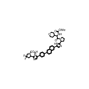 COC(=O)NC(C(=O)N1CCCC1c1ncc(-c2ccc3cc(-c4ccc(-c5cnc(C6CC(F)(F)CN6C(=O)O)[nH]5)cc4)ccc3c2)[nH]1)C1CCOCC1